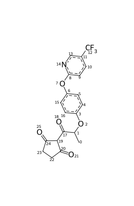 CC(Oc1ccc(Oc2ccc(C(F)(F)F)cn2)cc1)C(=O)C1C(=O)CCC1=O